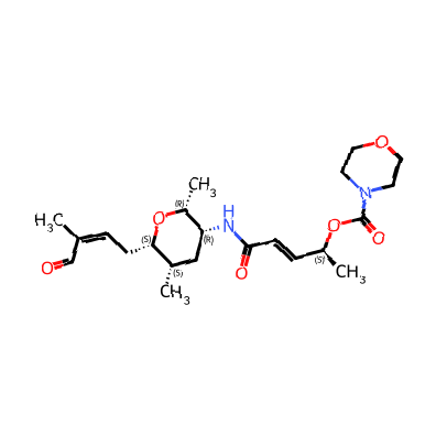 CC(C=O)=CC[C@@H]1O[C@H](C)[C@H](NC(=O)C=C[C@H](C)OC(=O)N2CCOCC2)C[C@@H]1C